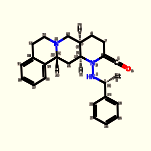 CC[C@@H](NN1C(=C=O)CC[C@@H]2CN3CCc4ccccc4[C@H]3C[C@@H]21)c1ccccc1